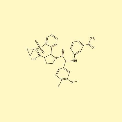 COc1cc(C(Nc2cccc(C(N)=O)c2)C(=O)N2CCC(C(=O)O)C2c2ccccc2S(=O)(=O)C2CC2)ccc1F